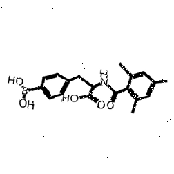 Cc1cc(C)c(C(=O)NC(Cc2ccc(B(O)O)cc2)C(=O)O)c(C)c1